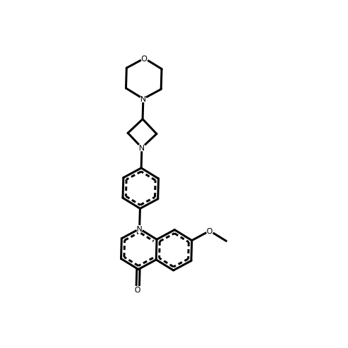 COc1ccc2c(=O)ccn(-c3ccc(N4CC(N5CCOCC5)C4)cc3)c2c1